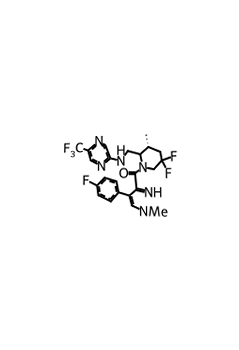 CN/C=C(\C(=N)C(=O)N1CC(F)(F)C[C@@H](C)C1CNc1cnc(C(F)(F)F)cn1)c1ccc(F)cc1